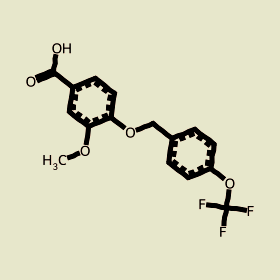 COc1cc(C(=O)O)ccc1OCc1ccc(OC(F)(F)F)cc1